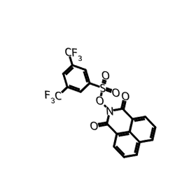 O=C1c2cccc3cccc(c23)C(=O)N1OS(=O)(=O)c1cc(C(F)(F)F)cc(C(F)(F)F)c1